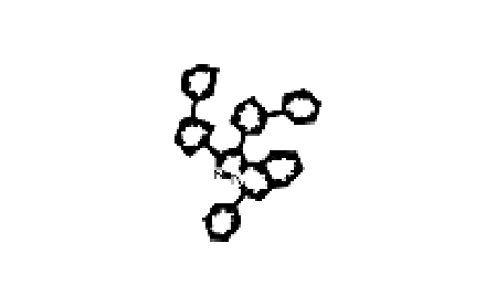 c1ccc(-c2cccc(-c3nn4c(-c5ccccc5)cc5ccccc5c4c3-c3cccc(-c4ccccc4)c3)c2)cc1